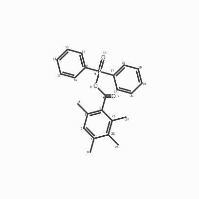 Cc1cc(C)c(C(=O)OP(=O)(c2ccccc2)c2ccccc2)c(C)c1C